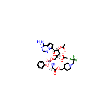 CC(=O)O[C@H]1[C@H](c2ccc3c(N)ncnn23)O[C@](C)(CO[P@@](=O)(N[C@@H](C)C(=O)OCC2CCN(CC(F)(F)F)CC2)Oc2ccccc2)[C@H]1OC(C)=O